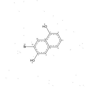 Oc1cc2cccc(O)c2cc1Br